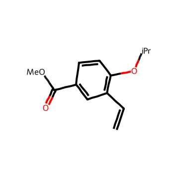 C=Cc1cc(C(=O)OC)ccc1OC(C)C